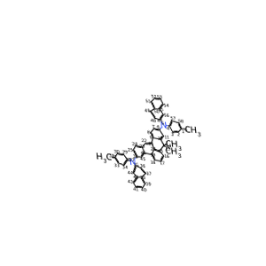 Cc1ccc(N(c2ccc3c(c2)C(C)(C)c2cccc4c2c-3cc2ccc(N(c3ccc(C)cc3)c3ccc5ccccc5c3)cc24)c2ccc3ccccc3c2)cc1